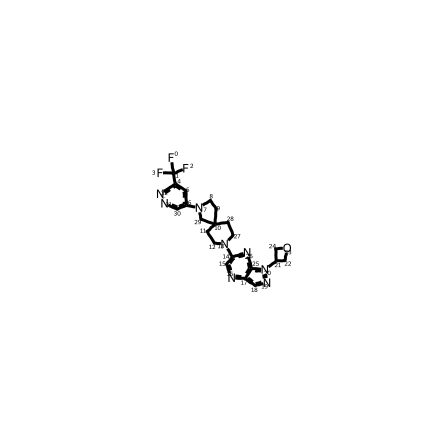 FC(F)(F)c1cc(N2CCC3(CCN(c4cnc5cnn(C6COC6)c5n4)CC3)C2)cnn1